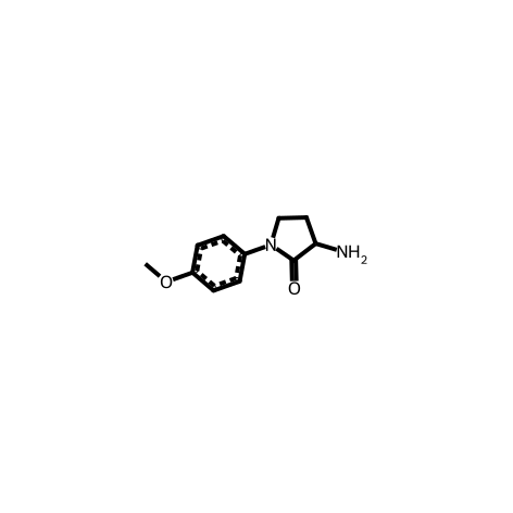 COc1ccc(N2CCC(N)C2=O)cc1